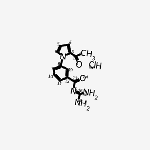 CC(=O)c1cccn1-c1cccc(C(=O)N=C(N)N)c1.Cl